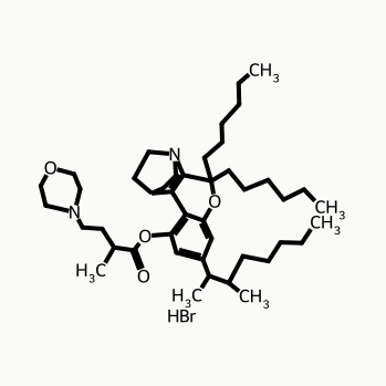 Br.CCCCCCC1(CCCCCC)Oc2cc(C(C)C(C)CCCCC)cc(OC(=O)C(C)CCN3CCOCC3)c2C2=C1N1CCC2CC1